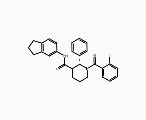 O=C(Nc1ccc2c(c1)CCC2)C1CCCN(C(=O)c2ccccc2F)[C@H]1c1ccccc1